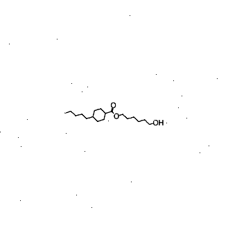 CCCCCC1CCC(C(=O)OCCCCCCO)CC1